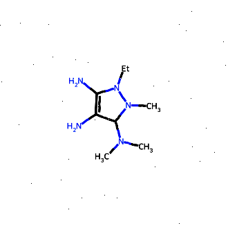 CCN1C(N)=C(N)C(N(C)C)N1C